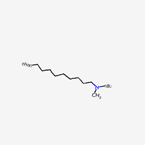 CCCCCCCCCCCCCCCCCCN(C)CCCC